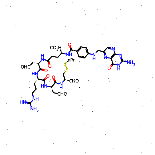 CCCSSC[C@@H](C=O)NC(=O)[C@H](CC=O)NC(=O)[C@H](CCCNC(=N)N)NC(=O)[C@H](CC=O)NC(=O)CC[C@H](NC(=O)c1ccc(NCc2cnc3nc(N)[nH]c(=O)c3n2)cc1)C(=O)O